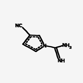 N#Cc1ccn(C(=N)N)c1